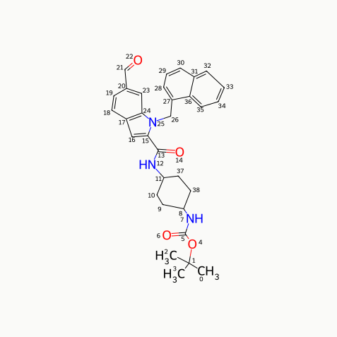 CC(C)(C)OC(=O)NC1CCC(NC(=O)c2cc3ccc(C=O)cc3n2Cc2cccc3ccccc23)CC1